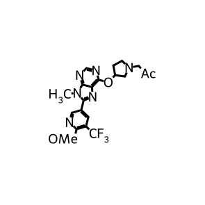 COc1ncc(-c2nc3c(OC4CCN(CC(C)=O)C4)ncnc3n2C)cc1C(F)(F)F